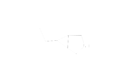 CCC1C2CNCC12